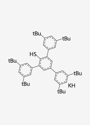 CC(C)(C)c1cc(-c2cc(-c3cc(C(C)(C)C)cc(C(C)(C)C)c3)c(S)c(-c3cc(C(C)(C)C)cc(C(C)(C)C)c3)c2)cc(C(C)(C)C)c1.[KH]